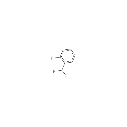 Fc1[c]cccc1C(F)F